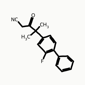 CC(C)(C(=O)CC#N)c1ccc(-c2ccccc2)c(F)c1